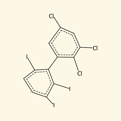 Clc1cc(Cl)c(Cl)c(-c2c(I)c[c]c(I)c2I)c1